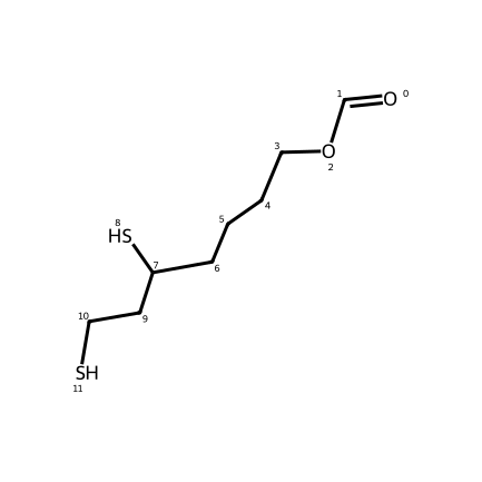 O=COCCCCC(S)CCS